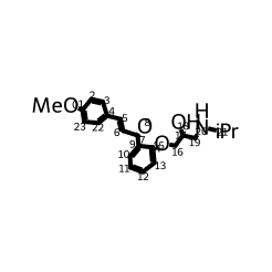 COc1ccc(/C=C/C(=O)c2ccccc2OCC(O)CNC(C)C)cc1